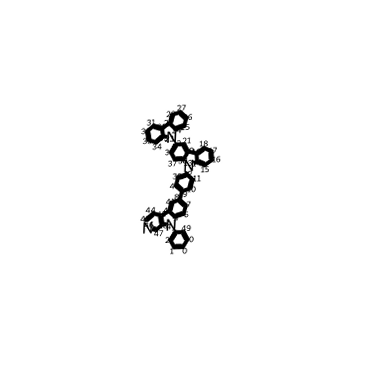 c1ccc(-n2c3ccc(-c4ccc(-n5c6ccccc6c6cc(-n7c8ccccc8c8ccccc87)ccc65)cc4)cc3c3ccncc32)cc1